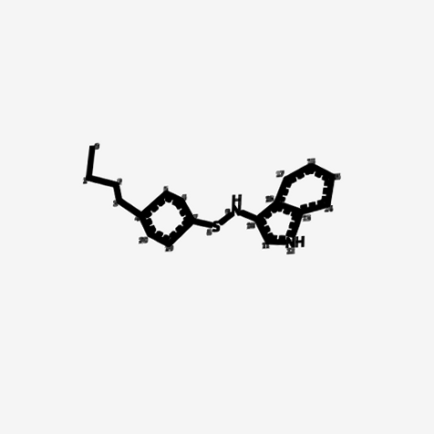 CCCCc1ccc(SNc2c[nH]c3ccccc23)cc1